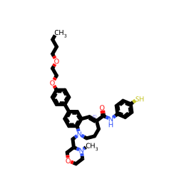 CCCCOCCOc1ccc(-c2ccc3c(c2)/C=C(/C(=O)Nc2ccc(S)cc2)CCCN3CC2COCCN2C)cc1